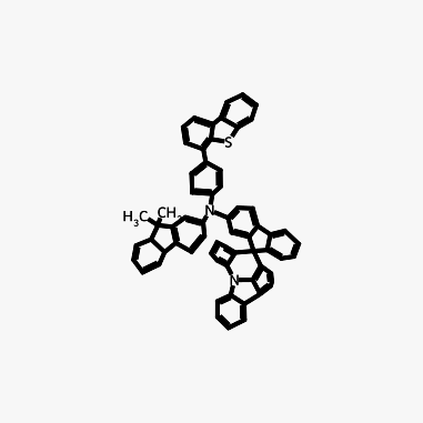 CC1(C)c2cc(N(c3ccc(-c4cccc5c4sc4ccccc45)cc3)c3ccc4c(c3)C3(c5ccccc5-4)c4ccccc4-n4c5ccccc5c5cccc3c54)ccc2C2C=CC=CC21